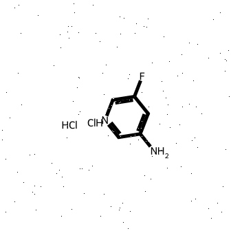 Cl.Cl.Nc1cncc(F)c1